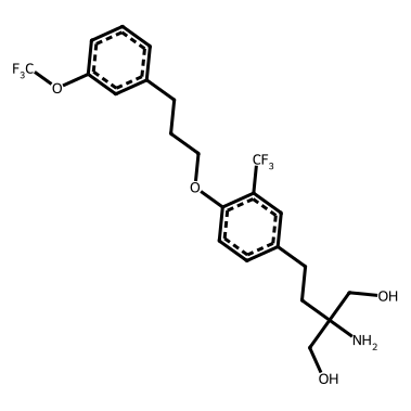 NC(CO)(CO)CCc1ccc(OCCCc2cccc(OC(F)(F)F)c2)c(C(F)(F)F)c1